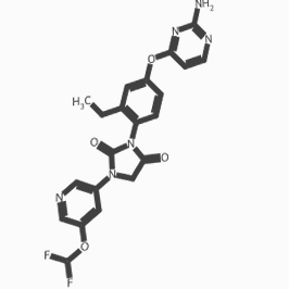 CCc1cc(Oc2ccnc(N)n2)ccc1N1C(=O)CN(c2cncc(OC(F)F)c2)C1=O